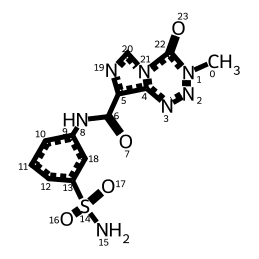 Cn1nnc2c(C(=O)Nc3cccc(S(N)(=O)=O)c3)ncn2c1=O